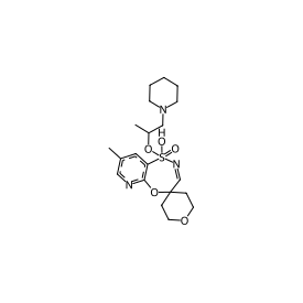 Cc1cnc2c(c1)S(=O)(O)(OC(C)CN1CCCCC1)N=CC1(CCOCC1)O2